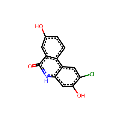 O=c1[nH]c2cc(O)c(Cl)cc2c2ccc(O)cc12